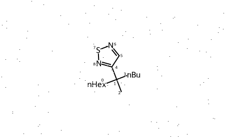 CCCCCCC(C)(CCCC)c1cnsn1